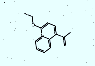 C=C(C)c1ccc(OCC)c2ccccc12